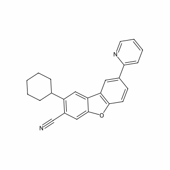 N#Cc1cc2oc3ccc(-c4ccccn4)cc3c2cc1C1CCCCC1